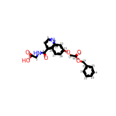 O=C(O)CNC(=O)c1ccnc2cc(OCC(=O)OCc3ccccc3)ccc12